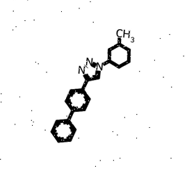 CC1CCCC(n2cc(-c3ccc(-c4ccccc4)cc3)nn2)C1